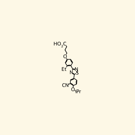 [C-]#[N+]c1cc(-c2nc(-c3ccc(OCCCC(=O)O)cc3CC)ns2)ccc1OC(C)C